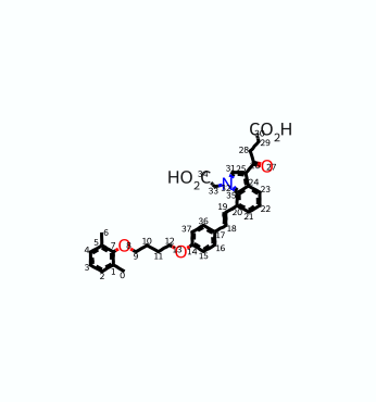 Cc1cccc(C)c1OCCCCOc1ccc(C=Cc2cccc3c(C(=O)CCC(=O)O)cn(CC(=O)O)c23)cc1